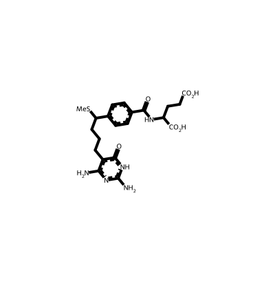 CSC(CCCc1c(N)nc(N)[nH]c1=O)c1ccc(C(=O)NC(CCC(=O)O)C(=O)O)cc1